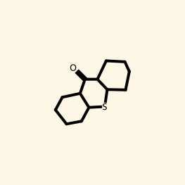 O=C1C2CCCCC2SC2CCCCC12